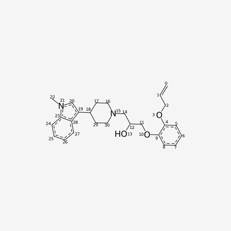 C=CCOc1ccccc1OCC(O)CN1CCC(c2cn(C)c3ccccc23)CC1